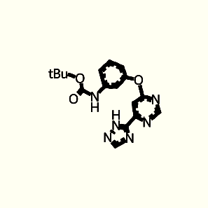 CC(C)(C)OC(=O)Nc1cccc(Oc2cc(-c3ncn[nH]3)ncn2)c1